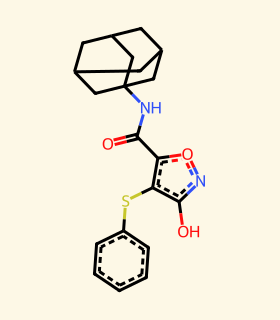 O=C(NC12CC3CC(CC(C3)C1)C2)c1onc(O)c1Sc1ccccc1